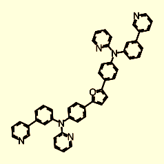 c1ccc(N(c2ccc(-c3ccc(-c4ccc(N(c5cccc(-c6cccnc6)c5)c5ccccn5)cc4)o3)cc2)c2cccc(-c3cccnc3)c2)nc1